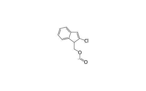 O=[C]OCC1C(Cl)=Cc2ccccc21